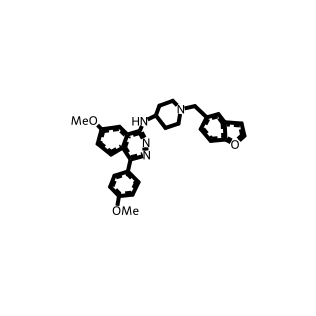 COc1ccc(-c2nnc(NC3CCN(Cc4ccc5occc5c4)CC3)c3cc(OC)ccc23)cc1